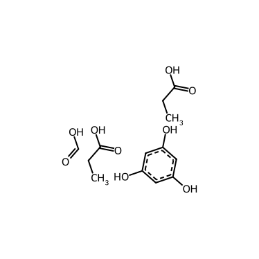 CCC(=O)O.CCC(=O)O.O=CO.Oc1cc(O)cc(O)c1